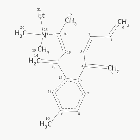 C=C/C=C\C(=C)c1ccc(C)cc1C(=C)C=C(C)[N+](C)(C)CC